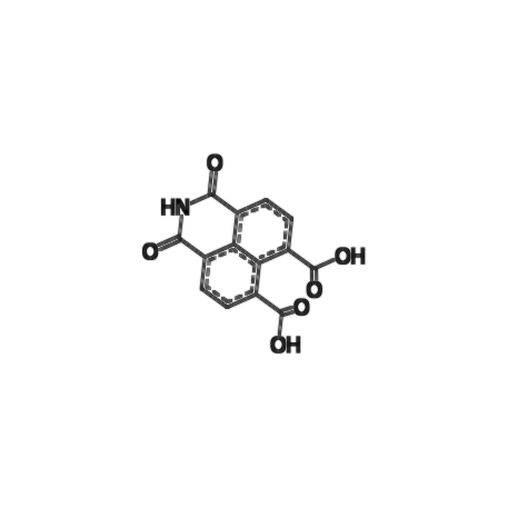 O=C(O)c1ccc2c3c(ccc(C(=O)O)c13)C(=O)NC2=O